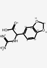 N=C(N)NC(C(=O)O)c1ccc2c(c1)OCO2